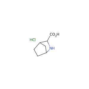 Cl.O=C(O)C1NC2CCC1C2